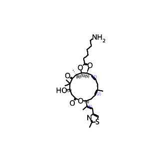 C/C1=C/C[C@@H](/C(C)=C/c2csc(C)n2)OC(=O)C[C@H](O)C(C)(C)C(=O)[C@H](C)[C@@H](OC(=O)CCCCCN)[C@@H](C)/C=C\C1